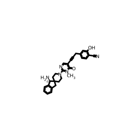 Cn1c(N2CCC3(CC2)Cc2ccccc2[C@H]3N)ncc(C#CCc2ccc(C#N)c(O)c2)c1=O